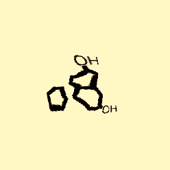 Oc1ccc2ccc(O)cc2c1.c1ccccc1